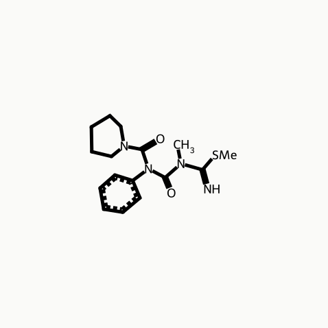 CSC(=N)N(C)C(=O)N(C(=O)N1CCCCC1)c1ccccc1